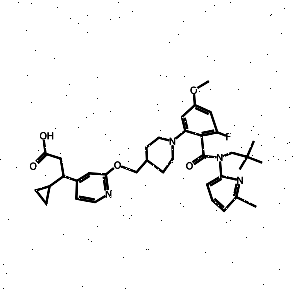 COc1cc(F)c(C(=O)N(CC(C)(C)C)c2cccc(C)n2)c(N2CCC(COc3cc(C(CC(=O)O)C4CC4)ccn3)CC2)c1